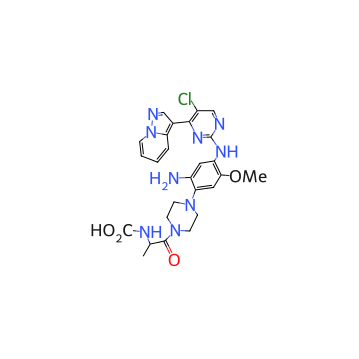 COc1cc(N2CCN(C(=O)C(C)NC(=O)O)CC2)c(N)cc1Nc1ncc(Cl)c(-c2cnn3ccccc23)n1